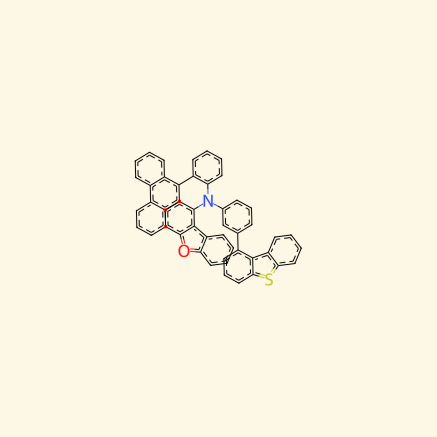 c1cc(-c2cccc3sc4ccccc4c23)cc(N(c2ccccc2-c2cc3ccccc3c3ccccc23)c2cccc3oc4ccccc4c23)c1